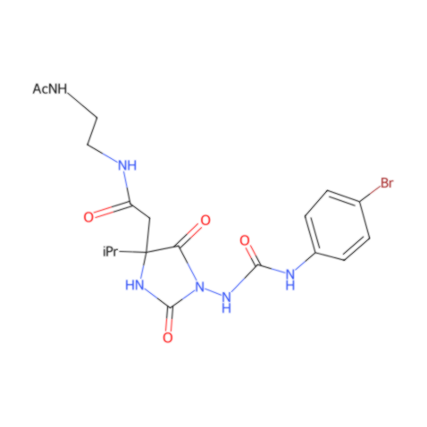 CC(=O)NCCNC(=O)CC1(C(C)C)NC(=O)N(NC(=O)Nc2ccc(Br)cc2)C1=O